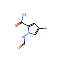 Cc1cc(C(N)=O)n(NC=O)c1